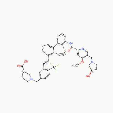 COc1cc(C(=O)Nc2cccc(-c3cccc(/C=C/c4cc(CN5CC[C@@H](C(=O)O)C5)ccc4C(F)(F)F)c3C)c2C)ncc1CN1CC[C@@H](O)C1